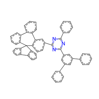 c1ccc(-c2cc(-c3ccccc3)cc(-c3nc(-c4ccccc4)nc(-c4ccc5c(c4)-c4ccccc4-c4ccccc4C54c5ccccc5-c5ccccc54)n3)c2)cc1